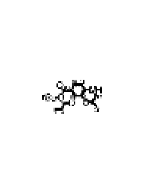 C=CCOc1c(C(=O)OC(C)(C)C)ccc2c1OC(C)CN2